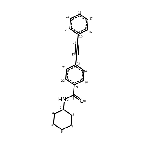 O=C(NC1CCCCC1)c1ccc(C#Cc2ccccc2)cc1